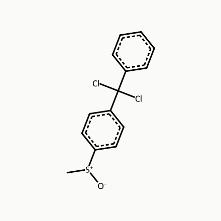 C[S+]([O-])c1ccc(C(Cl)(Cl)c2ccccc2)cc1